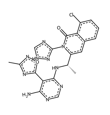 Cc1noc(-c2c(N)ncnc2N[C@@H](C)c2cc3cccc(Cl)c3c(=O)n2-c2nc[nH]n2)n1